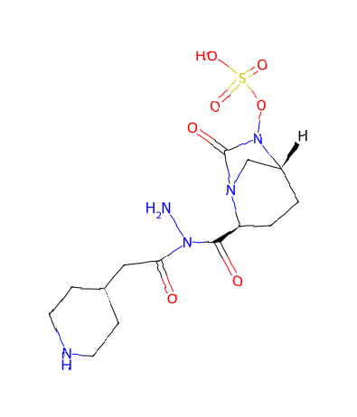 NN(C(=O)CC1CCNCC1)C(=O)[C@@H]1CC[C@@H]2CN1C(=O)N2OS(=O)(=O)O